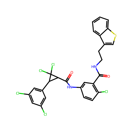 O=C(NCCc1csc2ccccc12)c1cc(NC(=O)C2C(c3cc(Cl)cc(Cl)c3)C2(Cl)Cl)ccc1Cl